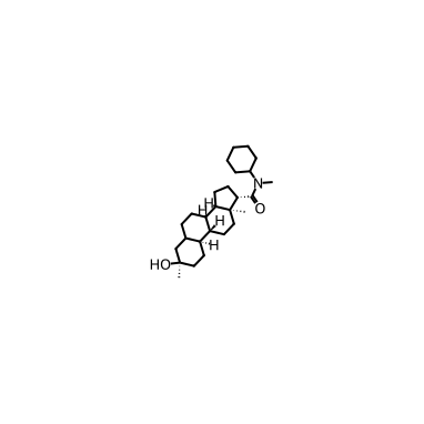 CN(C(=O)[C@H]1CC[C@H]2[C@@H]3CCC4C[C@](C)(O)CC[C@@H]4[C@H]3CC[C@]12C)C1CCCCC1